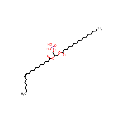 CCCCCC/C=C\CCCCCCCCCC(=O)O[C@H](COC(=O)CCCCCCCCCCCCCCC)COP(=O)(O)O